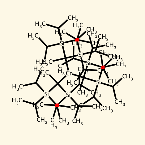 CC(C)[Si](C(C)C)(C(C)C)[C](C)([Cr]([C](C)([Si](C(C)C)(C(C)C)C(C)C)[Si](C(C)C)(C(C)C)C(C)C)[C](C)([Si](C(C)C)(C(C)C)C(C)C)[Si](C(C)C)(C(C)C)C(C)C)[Si](C(C)C)(C(C)C)C(C)C